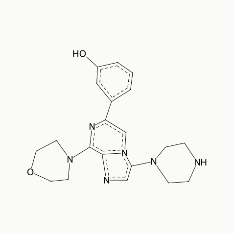 Oc1cccc(-c2cn3c(N4CCNCC4)cnc3c(N3CCOCC3)n2)c1